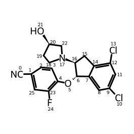 N#Cc1ccc(O[C@H]2c3cc(Cl)cc(Cl)c3C[C@@H]2N2CC[C@@H](O)C2)c(F)c1